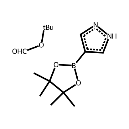 CC(C)(C)OC=O.CC1(C)OB(c2cn[nH]c2)OC1(C)C